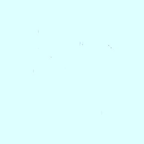 C=C(CCC)C(C)(CCC)Sc1ncnc2ccc(F)cc12